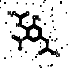 CC(=O)Nc1c(C)cc(OC(C)=O)cc1[N+](=O)[O-]